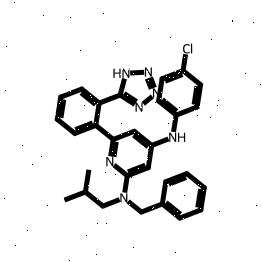 CC(C)CN(Cc1ccccc1)c1cc(Nc2ccc(Cl)cc2)cc(-c2ccccc2-c2nnn[nH]2)n1